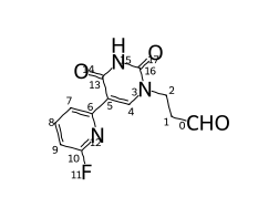 O=CCCn1cc(-c2cccc(F)n2)c(=O)[nH]c1=O